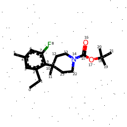 CCc1cc(C)cc(F)c1C1(C)CCN(C(=O)OC(C)(C)C)CC1